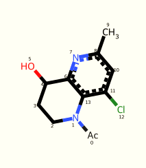 CC(=O)N1CCC(O)c2nc(C)cc(Cl)c21